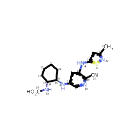 Cc1cc(Nc2cc(N[C@@H]3CCCC[C@@H]3NC(=O)O)cnc2C#N)sn1